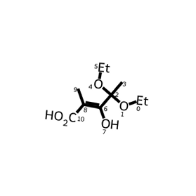 CCOC(C)(OCC)C(O)=C(C)C(=O)O